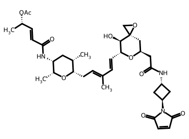 CC(=O)O[C@@H](C)C=CC(=O)N[C@@H]1C[C@H](C)[C@H](CC=C(C)C=C[C@H]2O[C@H](CC(=O)N[C@H]3C[C@H](N4C(=O)C=CC4=O)C3)C[C@@]3(CO3)[C@@H]2O)O[C@@H]1C